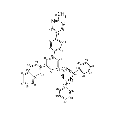 Cc1ccc(-c2ccc(-c3cc(-c4ccc5ccccc5c4)cc(-c4nc(-c5ccccc5)nc(-c5ccccc5)n4)c3)cc2)cn1